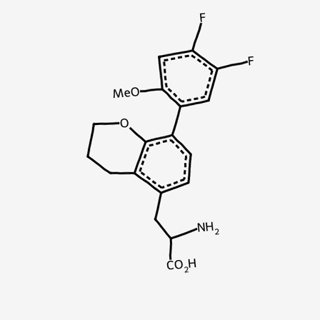 COc1cc(F)c(F)cc1-c1ccc(CC(N)C(=O)O)c2c1OCCC2